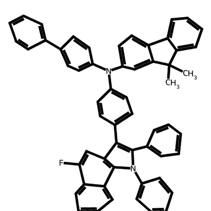 CC1(C)c2ccccc2-c2ccc(N(c3ccc(-c4ccccc4)cc3)c3ccc(-c4c(-c5ccccc5)n(-c5ccccc5)c5c4cc(F)c4ccccc45)cc3)cc21